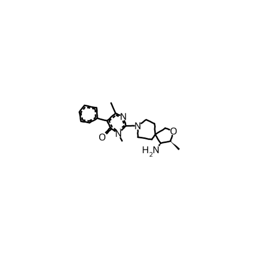 Cc1nc(N2CCC3(CC2)CO[C@@H](C)[C@H]3N)n(C)c(=O)c1-c1ccccc1